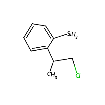 CC(CCl)c1ccccc1[SiH3]